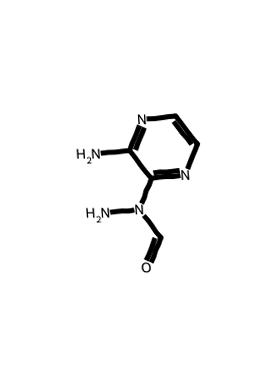 Nc1nccnc1N(N)C=O